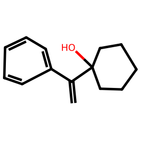 C=C(c1ccccc1)C1(O)CCCCC1